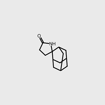 O=C1CCC2(N1)C1CC3CC(C1)CC2C3